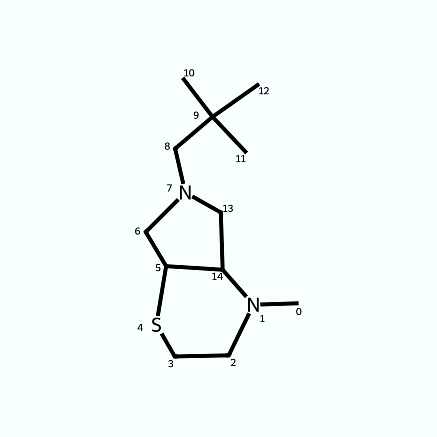 CN1CCSC2CN(CC(C)(C)C)CC21